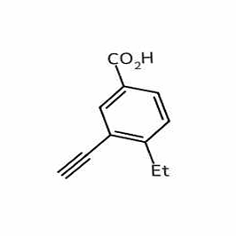 C#Cc1cc(C(=O)O)ccc1CC